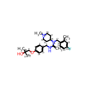 C=C(NCc1ccc(OCC(C)(O)C(C)C)cc1)N(Cc1ccc(F)cc1C)C1CCN(C)CC1